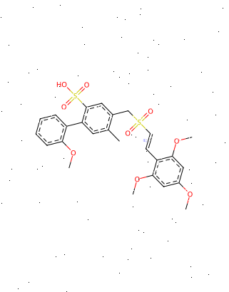 COc1cc(OC)c(/C=C/S(=O)(=O)Cc2cc(S(=O)(=O)O)c(-c3ccccc3OC)cc2C)c(OC)c1